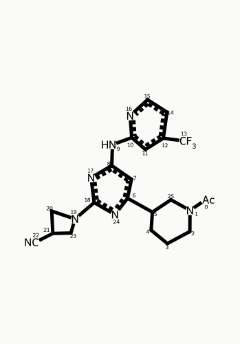 CC(=O)N1CCCC(c2cc(Nc3cc(C(F)(F)F)ccn3)nc(N3CC(C#N)C3)n2)C1